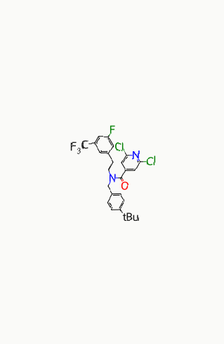 CC(C)(C)c1ccc(CN(CCc2cc(F)cc(C(F)(F)F)c2)C(=O)c2cc(Cl)nc(Cl)c2)cc1